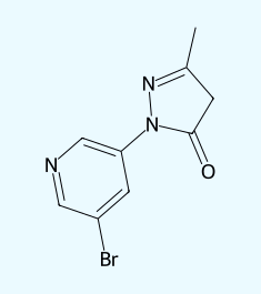 CC1=NN(c2cncc(Br)c2)C(=O)C1